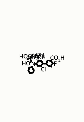 CN1C(O)(CO)C(O)N(c2ccccc2)c2cc(Cl)c(-c3ccc(F)c(C(=O)O)c3)cc2S1(O)O